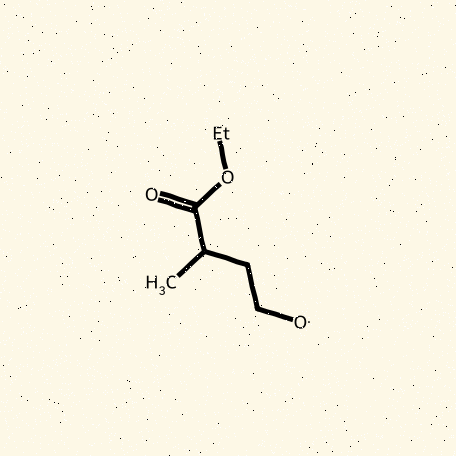 CCOC(=O)C(C)CC[O]